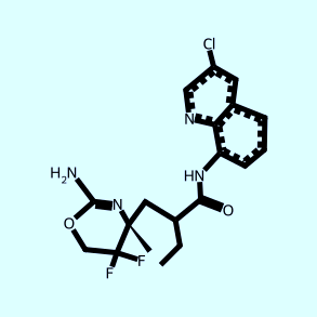 CCC(C[C@@]1(C)N=C(N)OCC1(F)F)C(=O)Nc1cccc2cc(Cl)cnc12